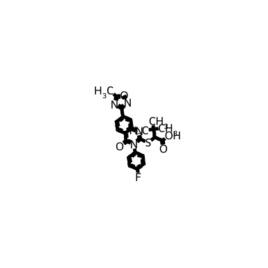 Cc1nc(-c2ccc3c(=O)n(-c4ccc(F)cc4)c(SC(C(=O)O)C(C)(C)C)nc3c2)no1